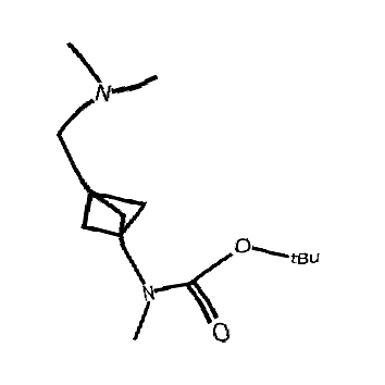 CN(C)CC12CC(N(C)C(=O)OC(C)(C)C)(C1)C2